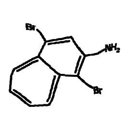 Nc1cc(Br)c2ccccc2c1Br